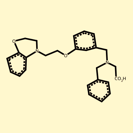 O=C(O)CN(Cc1ccccc1)Cc1cccc(OCCN2CCOc3ccccc32)c1